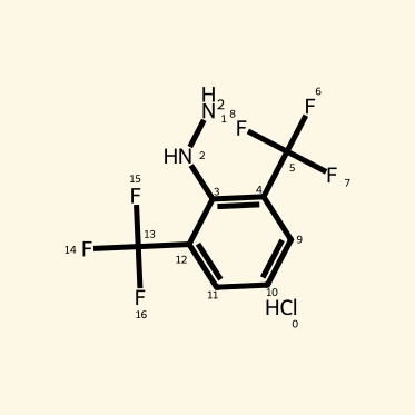 Cl.NNc1c(C(F)(F)F)cccc1C(F)(F)F